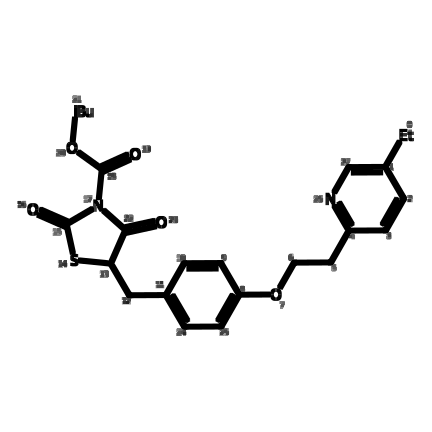 CCc1ccc(CCOc2ccc(CC3SC(=O)N(C(=O)OC(C)CC)C3=O)cc2)nc1